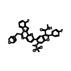 CNC(=O)c1c(-c2ccc(F)cc2)oc2cc(N(C)S(C)(=O)=O)c(-c3ccc4nc(CN5CC6CC5CO6)n5c6cccc(F)c6cc5c4n3)cc12